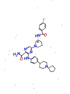 NC(=O)c1ncc(N2CCC[C@@H](NC(=O)c3ccc(F)cc3)C2)nc1Nc1ccc(C2CCN(C3CCCC3)CC2)cc1